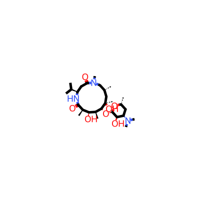 CC(C)[C@H]1CC(=O)N(C)C[C@H](C)C[C@@](C)(O)[C@H](O[C@@H]2O[C@H](C)C[C@H](N(C)C)[C@H]2O)[C@@H](C)[C@H](O)[C@@H](C)C(=O)N1